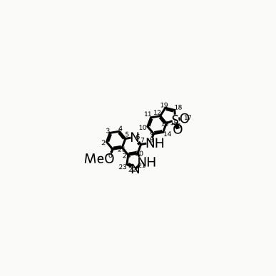 COc1cccc2nc(Nc3ccc4c(c3)S(=O)(=O)C=C4)c3[nH]ncc3c12